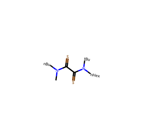 CCCCCCN(C(=S)C(=S)N(C)CCCC)C(C)(C)C